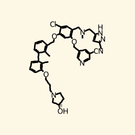 Cc1cc(CN(C)Cc2cc(Cl)c(OCc3cccc(-c4cccc(OCCCN5CC[C@@H](O)C5)c4C)c3C)cc2OCc2cncc(C#N)c2)[nH]n1